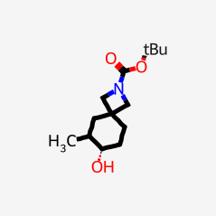 CC1CC2(CC[C@@H]1O)CN(C(=O)OC(C)(C)C)C2